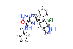 Nc1nc(-c2ccccc2)c(-c2cc(Cl)c3[nH]ncc3c2)nc1C(=O)NCC1CCCC1